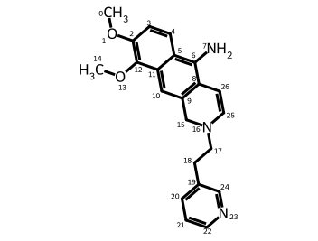 COc1ccc2c(N)c3c(cc2c1OC)CN(CCc1cccnc1)C=C3